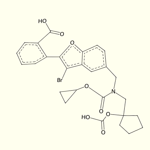 O=C(O)OC1(CN(Cc2ccc3oc(-c4ccccc4C(=O)O)c(Br)c3c2)C(=O)OC2CC2)CCCC1